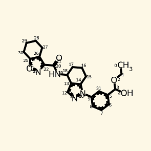 CCOC(O)c1cccc(-n2ncc3c2CCCC3NC(=O)c2noc3c2CCCC3)c1